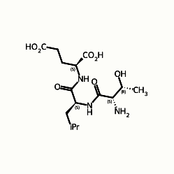 CC(C)C[C@H](NC(=O)[C@@H](N)[C@@H](C)O)C(=O)N[C@@H](CCC(=O)O)C(=O)O